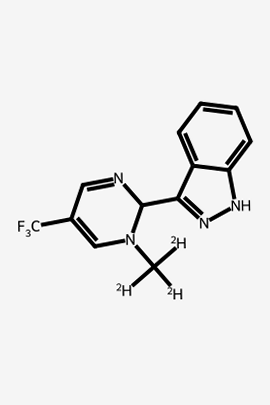 [2H]C([2H])([2H])N1C=C(C(F)(F)F)C=NC1c1n[nH]c2ccccc12